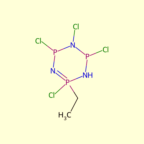 CCP1(Cl)=NP(Cl)N(Cl)P(Cl)N1